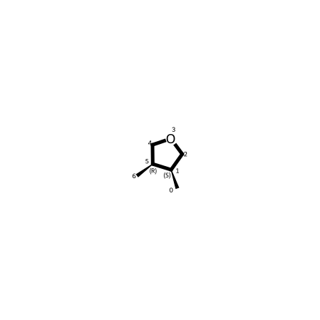 C[C@@H]1COC[C@@H]1C